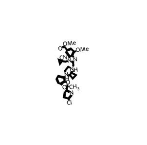 COC(=O)c1cc(OC)c2nc(CN3CCN(c4cccc5c4O[C@](C)(c4ccc(Cl)cn4)O5)[C@@H]4CC[C@H]43)n(CC3(C#N)CC3)c2c1